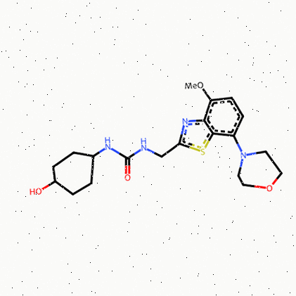 COc1ccc(N2CCOCC2)c2sc(CNC(=O)NC3CCC(O)CC3)nc12